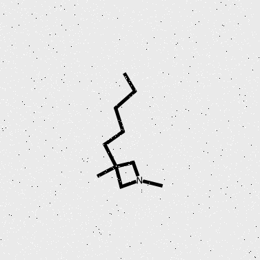 CCCCCC1(C)CN(C)C1